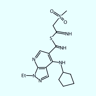 CCn1ncc2c(NC3CCCC3)c(C(=N)SC(=N)CS(C)(=O)=O)cnc21